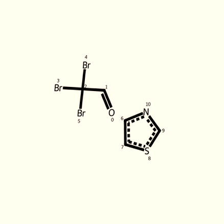 O=CC(Br)(Br)Br.c1cscn1